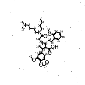 CCCCN(CCCCN(C)C)C(=O)CN1CC(c2cc(OC)c3c(c2)OCO3)[C@H](C(=O)O)[C@H]1CCc1ccccc1OC